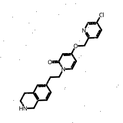 O=c1cc(OCc2ccc(Cl)cn2)ccn1CCc1ccc2c(c1)CCNC2